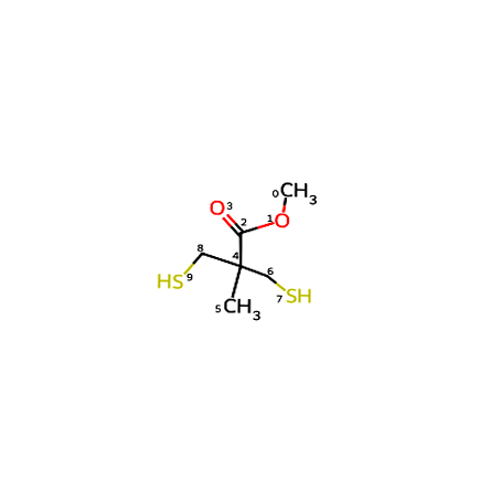 COC(=O)C(C)(CS)CS